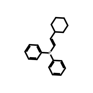 C(=CP(c1ccccc1)c1ccccc1)C1CCCCC1